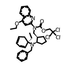 CCOc1cc(N(C[C@H]2CCC[C@H]2N(Cc2ccccc2)[C@@]2(CC)C=CC=CC2)C(=O)OCC(Cl)(Cl)Cl)nc2ccccc12